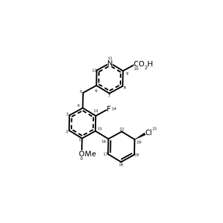 COc1ccc(Cc2ccc(C(=O)O)nc2)c(F)c1C1=CC=C[C@H](Cl)C1